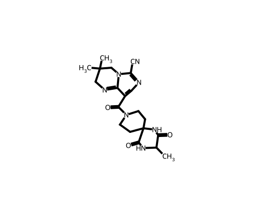 CC1NC(=O)C2(CCN(C(=O)C3=CN=C(C#N)N4CC(C)(C)CN=C34)CC2)NC1=O